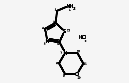 Cl.NCc1cnc(N2CCOCC2)s1